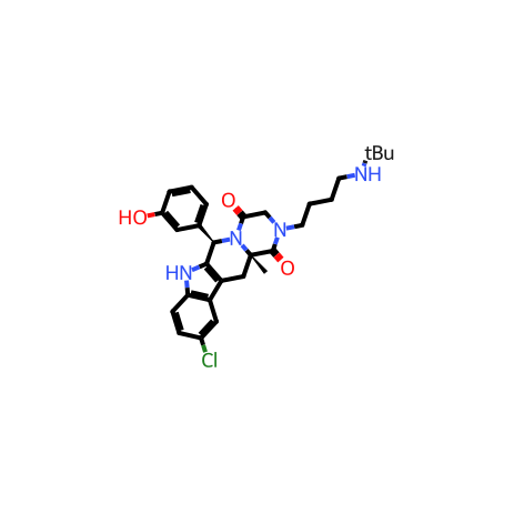 CC(C)(C)NCCCCN1CC(=O)N2[C@H](c3cccc(O)c3)c3[nH]c4ccc(Cl)cc4c3C[C@@]2(C)C1=O